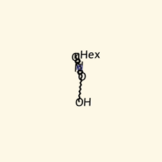 CCCCCCOc1ccc(/N=N/c2ccc(OCCCCCCCCCCCO)cc2)cc1